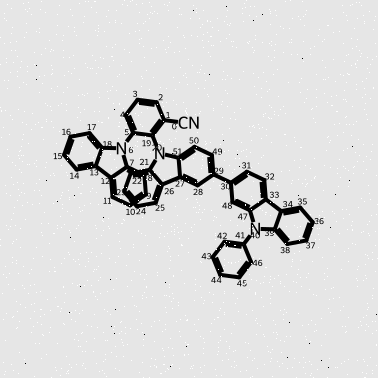 N#Cc1cccc(-n2c3ccccc3c3ccccc32)c1-n1c2ccccc2c2cc(-c3ccc4c5ccccc5n(-c5ccccc5)c4c3)ccc21